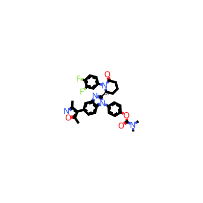 Cc1noc(C)c1-c1ccc2c(c1)nc([C@@H]1CCCC(=O)N1c1ccc(F)c(F)c1)n2-c1ccc(OC(=O)N(C)C)cc1